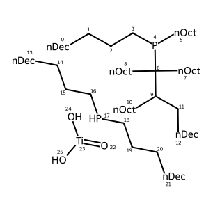 CCCCCCCCCCCCCP(CCCCCCCC)C(CCCCCCCC)(CCCCCCCC)C(CCCCCCCC)CCCCCCCCCCC.CCCCCCCCCCCCCPCCCCCCCCCCCCC.[O]=[Ti]([OH])[OH]